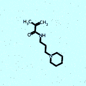 C=C(C)C(=O)NCCCN1CCCCC1